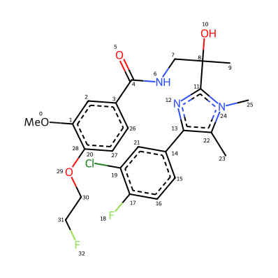 COc1cc(C(=O)NCC(C)(O)c2nc(-c3ccc(F)c(Cl)c3)c(C)n2C)ccc1OCCF